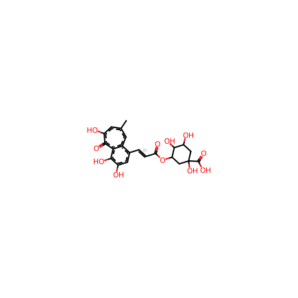 Cc1cc(O)c(=O)c2c(O)c(O)cc(/C=C/C(=O)OC3CC(O)(C(=O)O)CC(O)C3O)c2c1